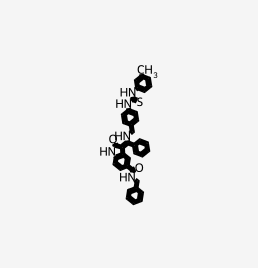 Cc1cccc(NC(=S)Nc2ccc(CN/C(=C3\C(=O)Nc4ccc(C(=O)NCc5ccccc5)cc43)c3ccccc3)cc2)c1